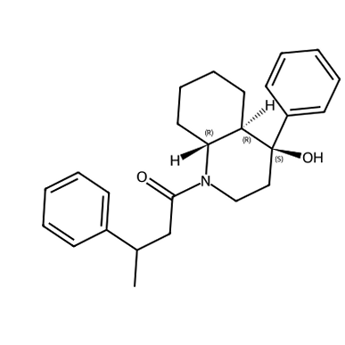 CC(CC(=O)N1CC[C@@](O)(c2ccccc2)[C@@H]2CCCC[C@H]21)c1ccccc1